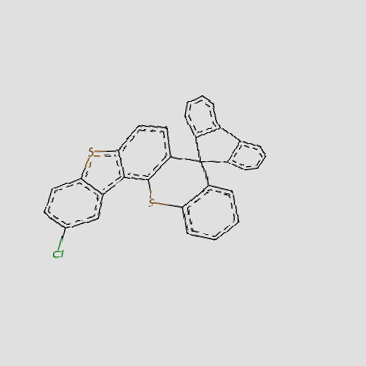 Clc1ccc2sc3ccc4c(c3c2c1)Sc1ccccc1C41c2ccccc2-c2ccccc21